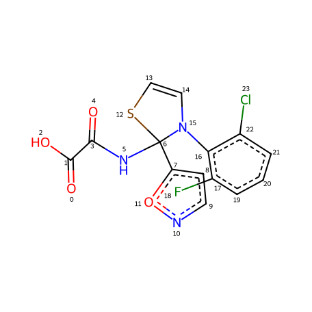 O=C(O)C(=O)NC1(c2ccno2)SC=CN1c1c(F)cccc1Cl